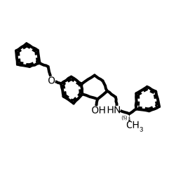 C[C@H](NCC1CCc2cc(OCc3ccccc3)ccc2C1O)c1ccccc1